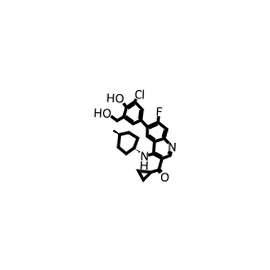 C[C@H]1CC[C@H](Nc2c(C(=O)C3CC3)cnc3cc(F)c(-c4cc(Cl)c(O)c(CO)c4)cc23)CC1